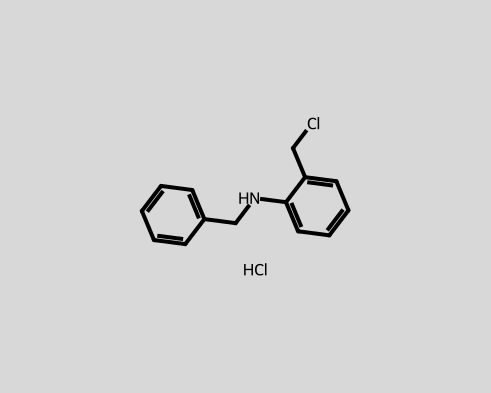 Cl.ClCc1ccccc1NCc1ccccc1